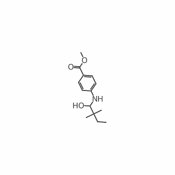 CCC(C)(C)C(O)Nc1ccc(C(=O)OC)cc1